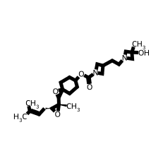 CC(C)=CC[C@H]1O[C@@]1(C)C1OC12CCC(OC(=O)N1CC(CCN3CC(C)(O)C3)C1)CC2